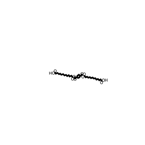 O=C(O)CCCCCCCCCCCCC(=O)OC(=O)C1CCC(C(=O)OC(=O)CCCCCCCCCCCCC(=O)O)CC1